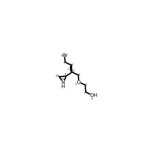 OCCOC/C(=C/CBr)C1CN1